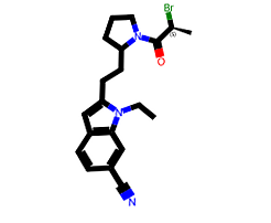 CCn1c(CCC2CCCN2C(=O)[C@H](C)Br)cc2ccc(C#N)cc21